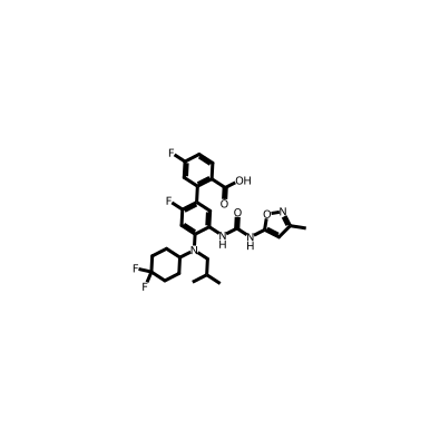 Cc1cc(NC(=O)Nc2cc(-c3cc(F)ccc3C(=O)O)c(F)cc2N(CC(C)C)C2CCC(F)(F)CC2)on1